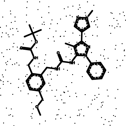 COCc1ccc(CNC(=O)OC(C)(C)C)c(CNC(=O)Nc2c(C)c(-c3cnn(C)c3)nn2-c2ccccc2)c1